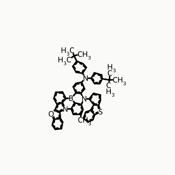 Cc1cc2c3c(c1)-n1c4c(cccc4c4oc5ccccc5c41)B3c1ccc(N(c3ccc(C(C)(C)C)cc3)c3ccc(C(C)(C)C)cc3)cc1N2c1cccc2sc3ccccc3c12